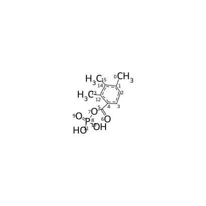 Cc1ccc(C(=O)OP(=O)(O)O)c(C)c1C